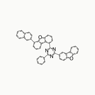 c1ccc(-c2nc(-c3ccc4oc5ccccc5c4c3)nc(-c3cccc4oc5c(-c6ccc7ccccc7c6)cccc5c34)n2)cc1